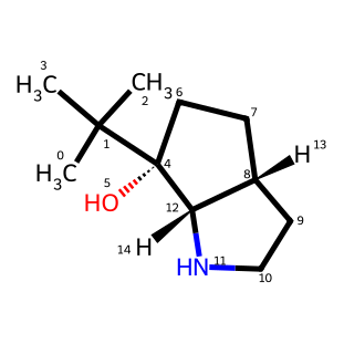 CC(C)(C)[C@@]1(O)CC[C@@H]2CCN[C@@H]21